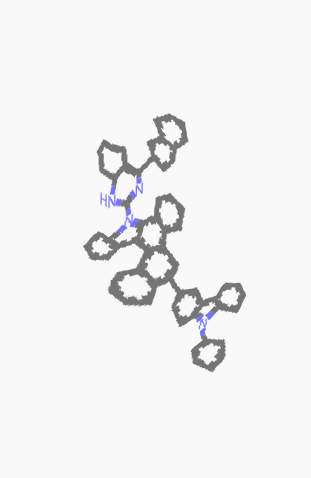 C1=CC2=C(c3ccc4ccccc4c3)N=C(n3c4ccccc4c4c5c6ccccc6c(-c6ccc7c(c6)c6ccccc6n7-c6ccccc6)cc5c5ccccc5c43)NC2C=C1